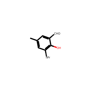 CCCc1cc(C)cc(C=O)c1O